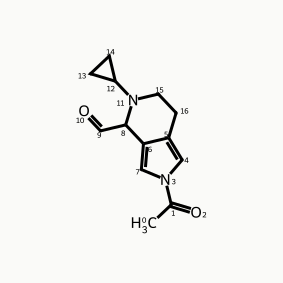 CC(=O)n1cc2c(c1)C(C=O)N(C1CC1)CC2